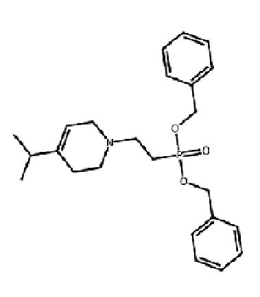 CC(C)C1=CCN(CCP(=O)(OCc2ccccc2)OCc2ccccc2)CC1